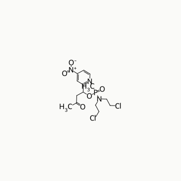 CC(=O)CC(OP(C)(=O)N(CCCl)CCCl)c1cc([N+](=O)[O-])ccn1